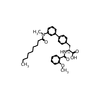 CCCCCCCCC(=O)N(C)c1cccc(-c2ccc(C[C@H](NC(=O)c3ccccc3OC)C(=O)O)cc2)c1